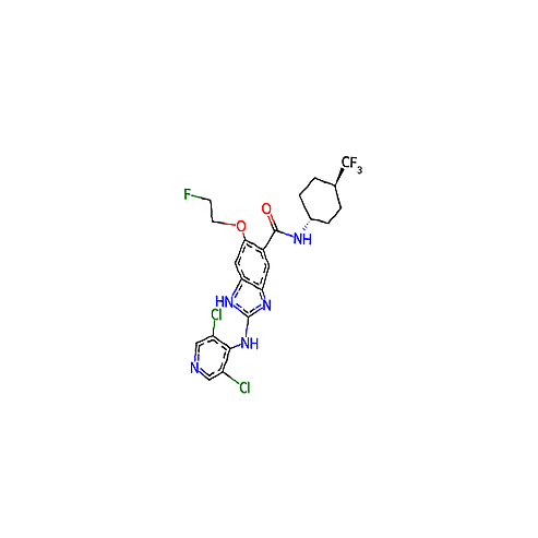 O=C(N[C@H]1CC[C@H](C(F)(F)F)CC1)c1cc2nc(Nc3c(Cl)cncc3Cl)[nH]c2cc1OCCF